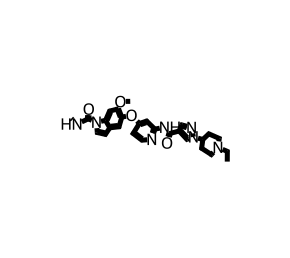 CCN1CCC(n2cc(C(=O)Nc3cc(Oc4cc5ccn(C(=O)NC)c5cc4OC)ccn3)cn2)CC1